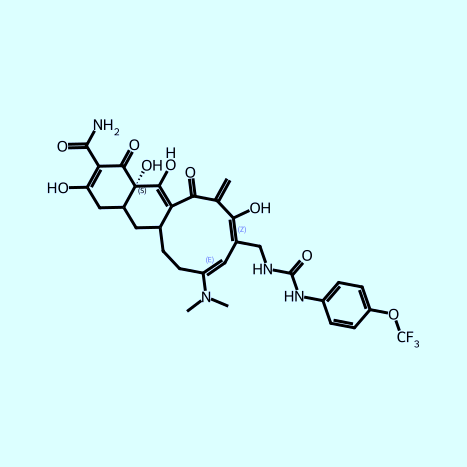 C=C1C(=O)C2=C(O)[C@]3(O)C(=O)C(C(N)=O)=C(O)CC3CC2CC/C(N(C)C)=C\C(CNC(=O)Nc2ccc(OC(F)(F)F)cc2)=C/1O